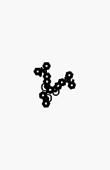 Cc1ccccc1N(c1ccccc1)c1ccc2cc3c(cc2c1)oc1cc(-c2cccc4c2oc2ccccc24)c2oc4cc5cc(N(c6ccccc6)c6ccccc6C)ccc5cc4c2c13